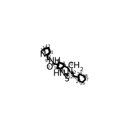 C=C1c2ccc(C(=O)NCc3ccccn3)cc2NC(=S)N1CCC1=CCCCC1